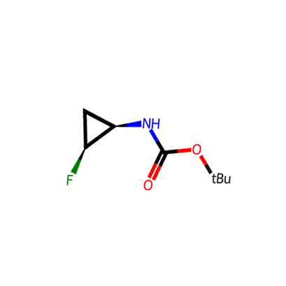 CC(C)(C)OC(=O)N[C@@H]1C[C@@H]1F